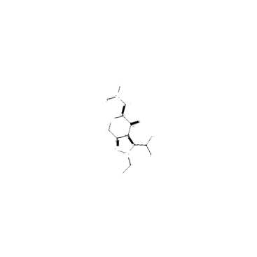 CCn1nc2c(c1C(C)C)C(=O)/C(=C/N(C)C)OC2